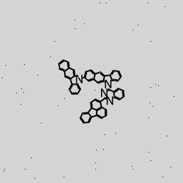 c1ccc2c(c1)-c1cccc3c(-c4nc(-n5c6ccccc6c6cc7ccc(-n8c9ccccc9c9cc%10ccccc%10cc98)cc7cc65)c5ccccc5n4)ccc-2c13